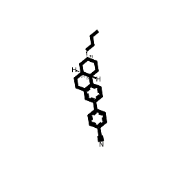 CCCC[C@@H]1CC[C@@H]2c3ccc(-c4ccc(C#N)cc4)cc3CC[C@H]2C1